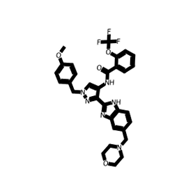 COc1ccc(Cn2cc(NC(=O)c3ccccc3OC(F)(F)F)c(-c3nc4cc(CN5CCOCC5)ccc4[nH]3)n2)cc1